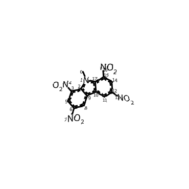 Cn1c2c([N+](=O)[O-])cc([N+](=O)[O-])cc2c2cc([N+](=O)[O-])cc([N+](=O)[O-])c21